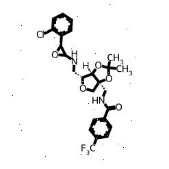 CC1(C)O[C@@H]2[C@@H](CNC3OC3c3ccccc3Cl)OC[C@]2(CNC(=O)c2ccc(C(F)(F)F)cc2)O1